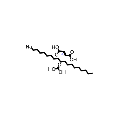 CCCCCCCCCCCCCCCCC[CH2][Na].O=C(O)/C=C/C(=O)O.O=C(O)O